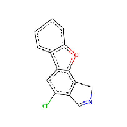 Clc1cc2c(oc3ccccc32)c2c1C=NC2